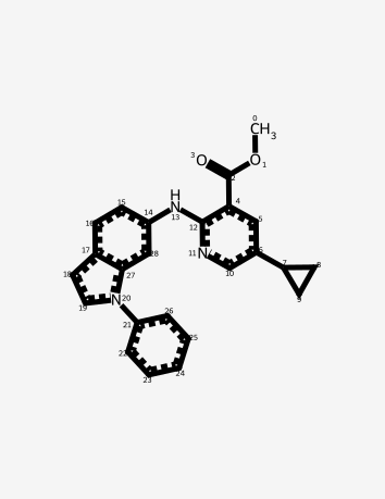 COC(=O)c1cc(C2CC2)cnc1Nc1ccc2ccn(-c3ccccc3)c2c1